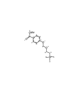 COC(=O)c1ccc(OCOCC[Si](C)(C)C)cc1